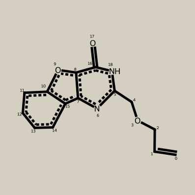 C=CCOCc1nc2c(oc3ccccc32)c(=O)[nH]1